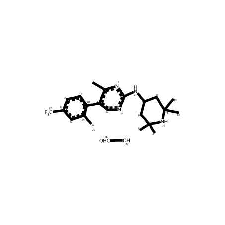 Cc1nc(NC2CC(C)(C)NC(C)(C)C2)ncc1-c1ccc(C(F)(F)F)cc1F.O=CO